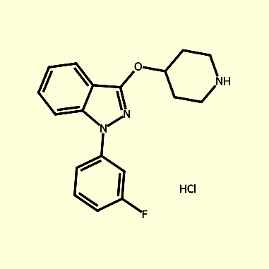 Cl.Fc1cccc(-n2nc(OC3CCNCC3)c3ccccc32)c1